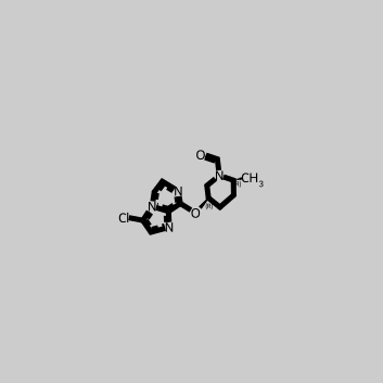 C[C@@H]1CC[C@@H](Oc2nccn3c(Cl)cnc23)CN1C=O